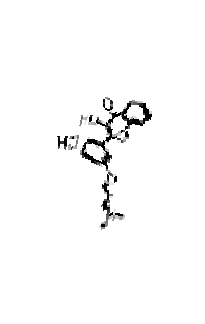 CN(C)CCCOc1cccc(-c2oc3ccccc3c(=O)c2O)c1.Cl